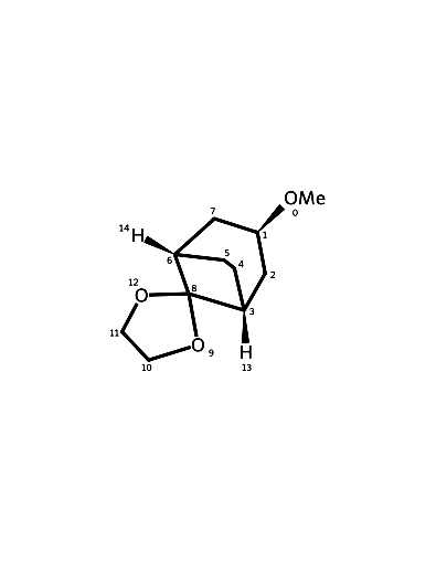 CO[C@H]1C[C@H]2CC[C@@H](C1)C21OCCO1